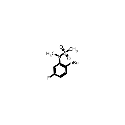 CCCCc1ccc(F)cc1N(C)S(C)(=O)=O